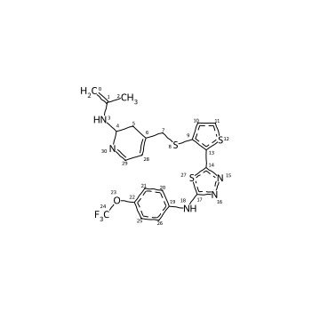 C=C(C)NC1CC(CSc2ccsc2-c2nnc(Nc3ccc(OC(F)(F)F)cc3)s2)=CC=N1